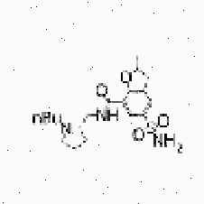 CCCCN1CCCC1CNC(=O)c1cc(S(N)(=O)=O)cc2c1OC(C)C2